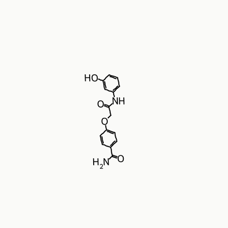 NC(=O)c1ccc(OCC(=O)Nc2cccc(O)c2)cc1